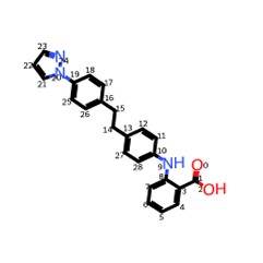 O=C(O)c1ccccc1Nc1ccc(CCc2ccc(-n3cccn3)cc2)cc1